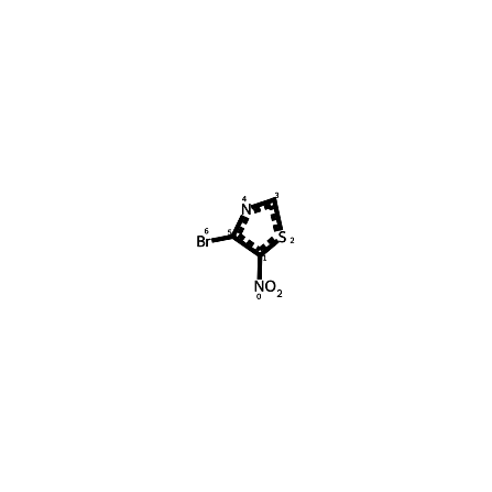 O=[N+]([O-])c1scnc1Br